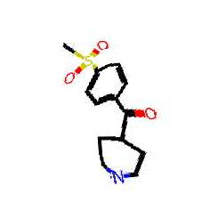 CS(=O)(=O)c1ccc(C(=O)C2CC[N]CC2)cc1